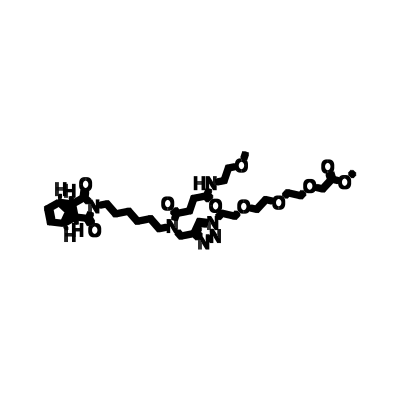 COCCNC(=O)CCC(=O)N(CCCCCCN1C(=O)[C@@H]2[C@H](C1=O)[C@H]1C=C[C@@H]2C1)Cc1cn(CCOCCOCCOCC(=O)OC)nn1